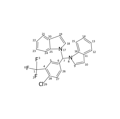 FC(F)(F)c1cc(C(n2ccc3ccccc32)n2ccc3ccccc32)ccc1Cl